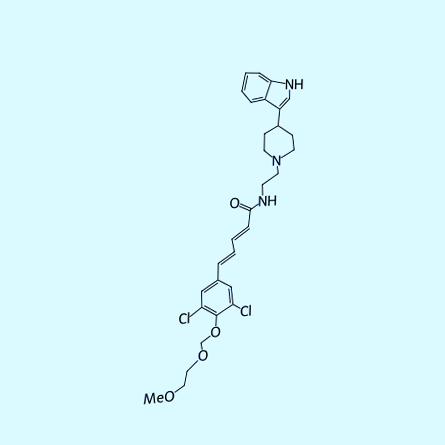 COCCOCOc1c(Cl)cc(/C=C/C=C/C(=O)NCCN2CCC(c3c[nH]c4ccccc34)CC2)cc1Cl